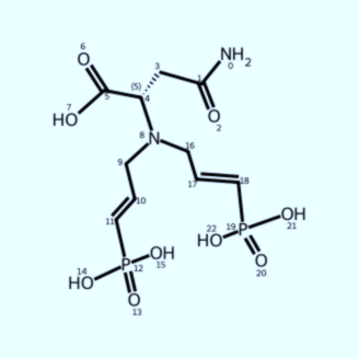 NC(=O)C[C@@H](C(=O)O)N(CC=CP(=O)(O)O)CC=CP(=O)(O)O